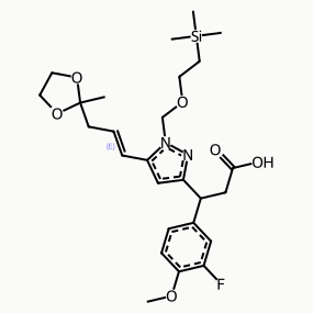 COc1ccc(C(CC(=O)O)c2cc(/C=C/CC3(C)OCCO3)n(COCC[Si](C)(C)C)n2)cc1F